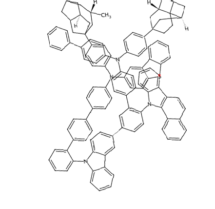 C[C@H]1CC2CC3CC(c4ccc(N(c5ccc(-c6ccc(-c7ccccc7-n7c8ccccc8c8cc(-c9ccc(-n%10c%11ccccc%11c%11ccc%12ccccc%12c%11%10)c(-c%10ccc(N(c%11ccc(-c%12ccccc%12)cc%11)c%11ccc(C%12%13CCC%14%15C(C[C@H]%14C%12)C[C@H]%15C%13)cc%11)cc%10)c9)ccc87)cc6)cc5)c5ccc6sc7ccccc7c6c5)cc4)(C1)C[C@@H]3C2